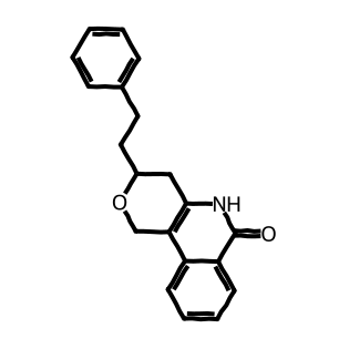 O=c1[nH]c2c(c3ccccc13)COC(CCc1ccccc1)C2